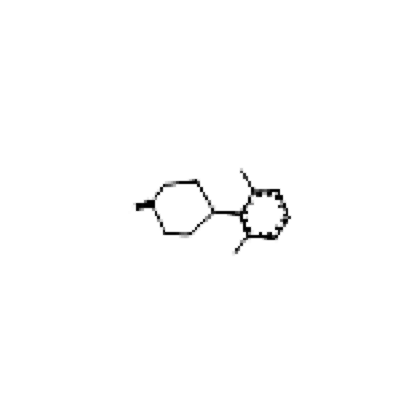 Cc1cccc(I)c1C1CCC(=O)CC1